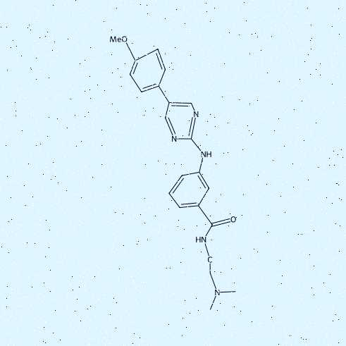 COc1ccc(-c2cnc(Nc3cccc(C(=O)NCCN(C)C)c3)nc2)cc1